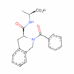 C[C@H](NC(=O)[C@@H]1Cc2ccccc2CN1C(=O)c1ccccc1)C(=O)O